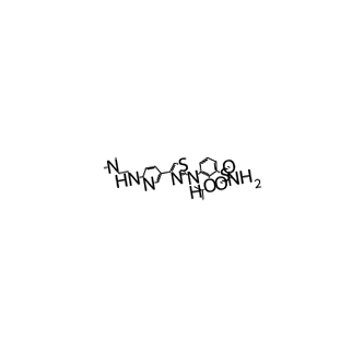 CC(C)Oc1c(Nc2nc(-c3ccc(NCCN(C)C)nc3)cs2)cccc1S(N)(=O)=O